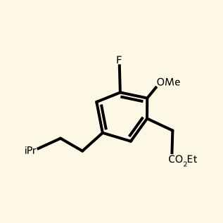 CCOC(=O)Cc1cc(CCC(C)C)cc(F)c1OC